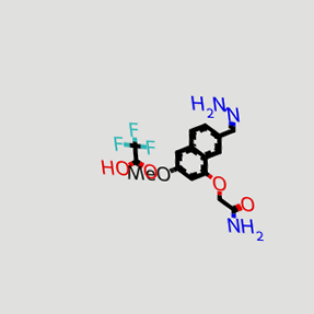 COc1cc(OCC(N)=O)c2cc(/C=N\N)ccc2c1.O=C(O)C(F)(F)F